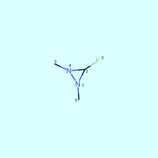 CN1C(F)N1C